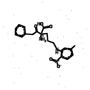 Cc1ccc([N+](=O)[O-])c(NCCC[C@@](N)(C(=O)O)C(=O)Cc2ccccc2)c1